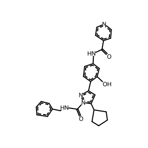 O=C(Nc1ccc(-c2cc(C3CCCC3)n(C(=O)NCc3ccccc3)n2)c(O)c1)c1ccncc1